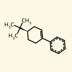 CC(C)(C)[C@H]1CC=C(c2cc[c]cc2)CC1